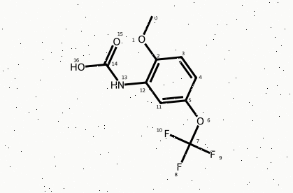 COc1ccc(OC(F)(F)F)cc1NC(=O)O